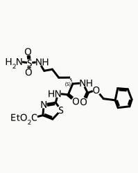 CCOC(=O)c1csc(NC(=O)[C@H](CCCCNS(N)(=O)=O)NC(=O)OCc2ccccc2)n1